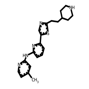 Cc1ccnc(Nc2cccc(-c3cnc(CCC4CCNCC4)s3)n2)c1